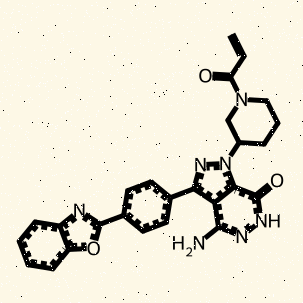 C=CC(=O)N1CCCC(n2nc(-c3ccc(-c4nc5ccccc5o4)cc3)c3c(N)n[nH]c(=O)c32)C1